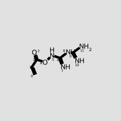 C=CC(=O)ONC(=N)NC(=N)N